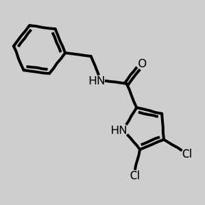 O=C(NCc1ccccc1)c1cc(Cl)c(Cl)[nH]1